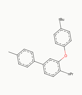 CCCc1ccc(-c2ccc(C)cc2)cc1Oc1ccc(C(C)(C)C)cc1